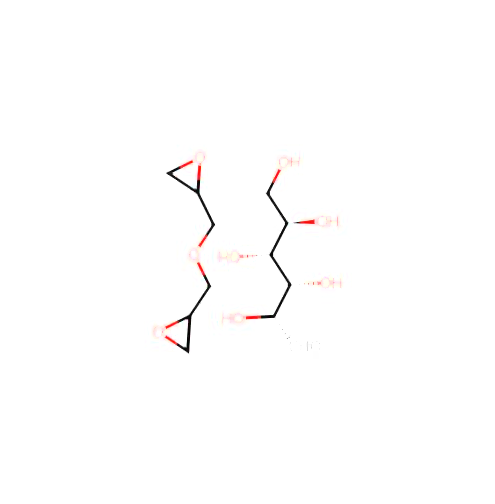 C(OCC1CO1)C1CO1.O=C[C@H](O)[C@@H](O)[C@H](O)[C@H](O)CO